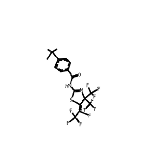 CC(C)(C)c1ccc(C(=O)NC2=NC(C(F)(F)F)(C(F)(F)F)C(=C(F)C(F)(F)F)S2)cc1